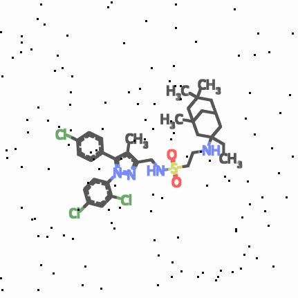 CCC1(NCCS(=O)(=O)NCc2nn(-c3ccc(Cl)cc3Cl)c(-c3ccc(Cl)cc3)c2C)CC2CC(C)(C)CC(C)(C2)C1